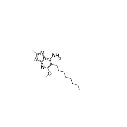 CCCCCCCCc1c(OC)nc2nc(C)nn2c1N